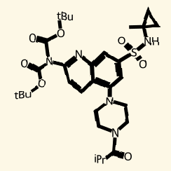 CC(C)C(=O)N1CCN(c2cc(S(=O)(=O)NC3(C)CC3)cc3nc(N(C(=O)OC(C)(C)C)C(=O)OC(C)(C)C)ccc23)CC1